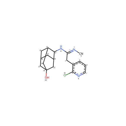 N#C/N=C(\Cc1cccnc1Cl)NC1C2CC3CC1CC(O)(C3)C2